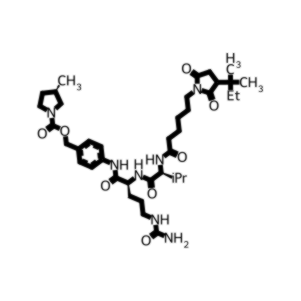 CCC(C)(C)C1CC(=O)N(CCCCCC(=O)N[C@H](C(=O)N[C@@H](CCCNC(N)=O)C(=O)Nc2ccc(COC(=O)N3CC[C@H](C)C3)cc2)C(C)C)C1=O